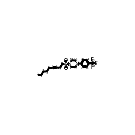 CCCCCC#CCCS(=O)(=O)N1CCN(c2ccc(C(F)(F)F)cc2)CC1